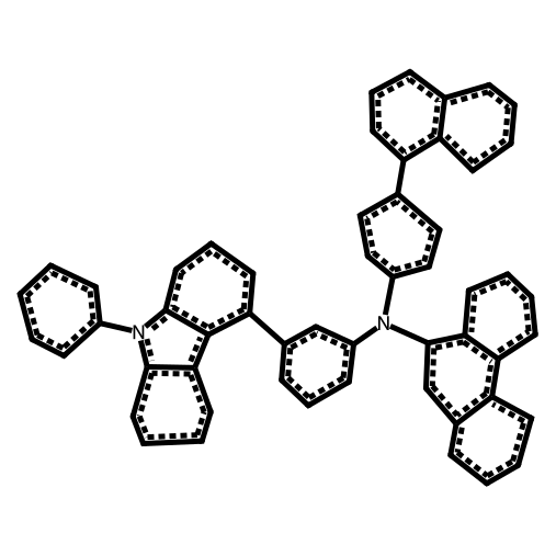 c1ccc(-n2c3ccccc3c3c(-c4cccc(N(c5ccc(-c6cccc7ccccc67)cc5)c5cc6ccccc6c6ccccc56)c4)cccc32)cc1